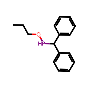 CCCOPC(c1ccccc1)c1ccccc1